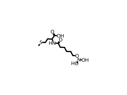 CSCCC(NC(=O)CCCCCON(O)O)C(=O)O